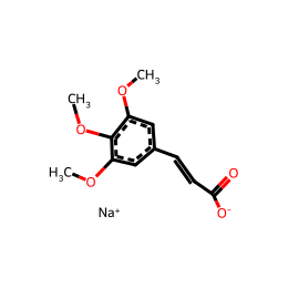 COc1cc(/C=C/C(=O)[O-])cc(OC)c1OC.[Na+]